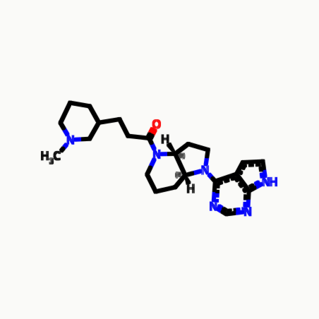 CN1CCCC(CCC(=O)N2CCC[C@@H]3[C@H]2CCN3c2ncnc3[nH]ccc23)C1